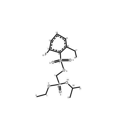 CCOP(=O)(COS(=O)(=O)c1c(F)cccc1CC)OC(C)C